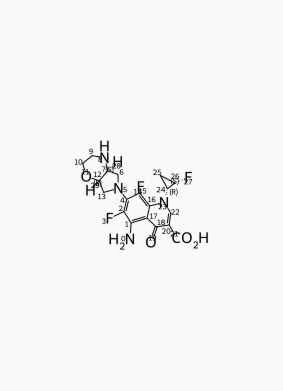 Nc1c(F)c(N2C[C@@H]3NCCO[C@H]3C2)c(F)c2c1c(=O)c(C(=O)O)cn2[C@@H]1C[C@@H]1F